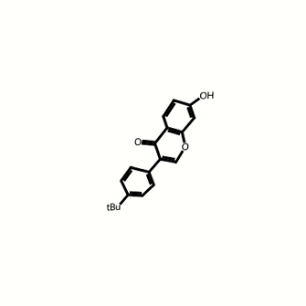 CC(C)(C)c1ccc(-c2coc3cc(O)ccc3c2=O)cc1